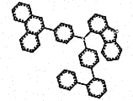 c1ccc(-c2ccccc2-c2ccc(N(c3ccc(-c4cc5ccccc5c5ccccc45)cc3)c3cccc4oc5ccccc5c34)cc2)cc1